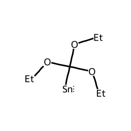 CCO[C]([Sn])(OCC)OCC